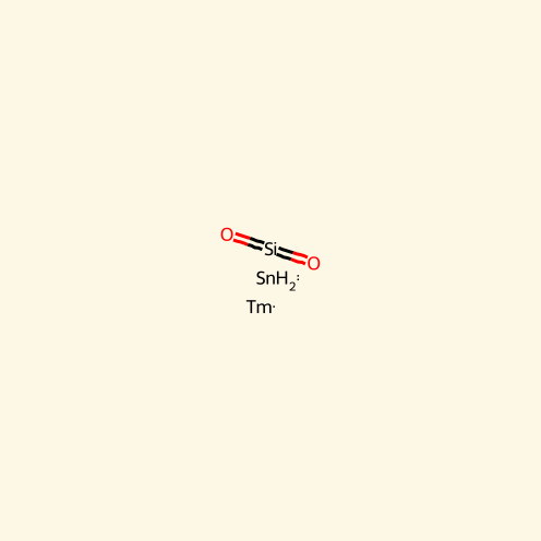 O=[Si]=O.[SnH2].[Tm]